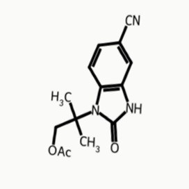 CC(=O)OCC(C)(C)n1c(=O)[nH]c2cc(C#N)ccc21